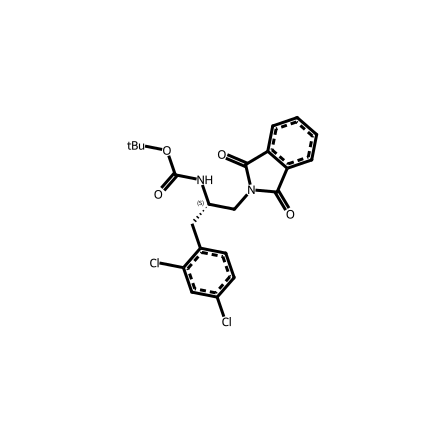 CC(C)(C)OC(=O)N[C@@H](Cc1ccc(Cl)cc1Cl)CN1C(=O)c2ccccc2C1=O